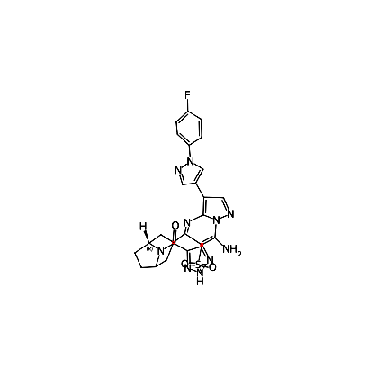 CS(=O)(=O)c1c(C2CC3CC[C@H](C2)N3C(=O)c2cn[nH]n2)nc2c(-c3cnn(-c4ccc(F)cc4)c3)cnn2c1N